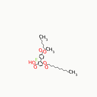 CCCCCCCCCCCC(=O)Oc1ccc(C(=O)O)c(F)c1-c1ccc(C(=O)O[C@H](C)CCCCCC)cc1